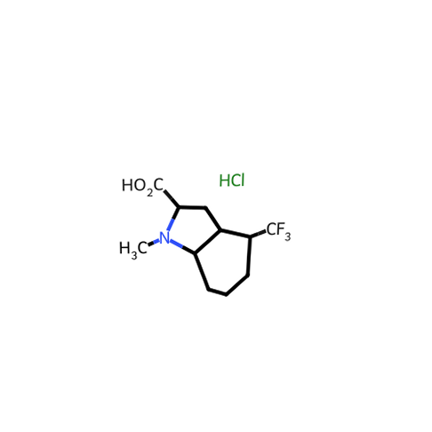 CN1C(C(=O)O)CC2C1CCCC2C(F)(F)F.Cl